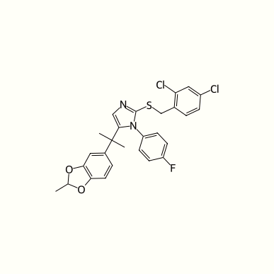 CC1Oc2ccc(C(C)(C)c3cnc(SCc4ccc(Cl)cc4Cl)n3-c3ccc(F)cc3)cc2O1